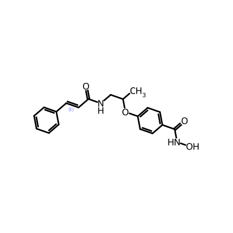 CC(CNC(=O)/C=C/c1ccccc1)Oc1ccc(C(=O)NO)cc1